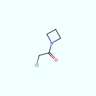 O=C(CCl)N1CCC1